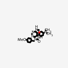 COc1ccc(CN2C(=O)NC3(c4ccc(N(C)C)cc4)C2=NC=Nc2[nH]cnc23)cc1